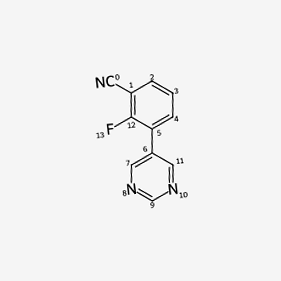 N#Cc1cccc(-c2cncnc2)c1F